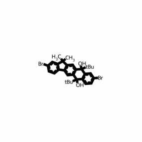 CC1(C)c2cc(Br)ccc2-c2cc3c(cc21)C(O)(C(C)(C)C)c1cc(Br)ccc1C3(O)C(C)(C)C